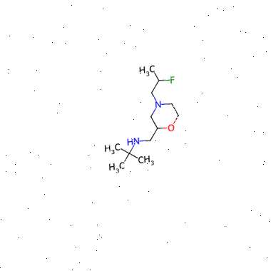 CC(F)CN1CCOC(CNC(C)(C)C)C1